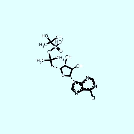 CC(C)(C[C@H]1O[C@@H](n2cnc3c(Cl)ncnc32)[C@H](O)[C@@H]1O)OP(=O)(O)C(C)(C)O